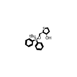 CC(C)(C)[Si](OC[C@H]1SCC[C@@H]1O)(c1ccccc1)c1ccccc1